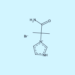 CC(C)(C(N)=O)[n+]1cc[nH]c1.[Br-]